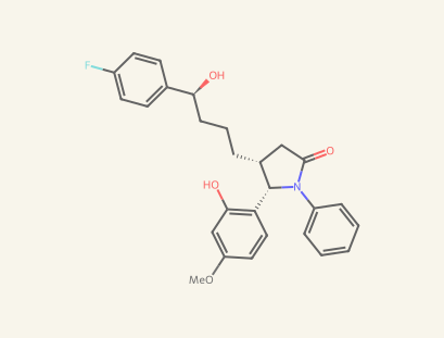 COc1ccc([C@@H]2[C@H](CCC[C@H](O)c3ccc(F)cc3)CC(=O)N2c2ccccc2)c(O)c1